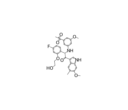 COc1cc(NC(C(=O)c2c[nH]c3cc(OC)c(C)cc23)c2ccc(F)cc2OCCO)cc(S(C)(=O)=O)c1